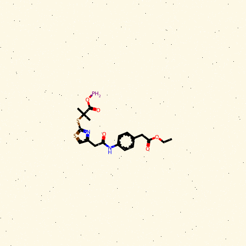 CCOC(=O)Cc1ccc(NC(=O)Cc2csc(SC(C)(C)C(=O)OP)n2)cc1